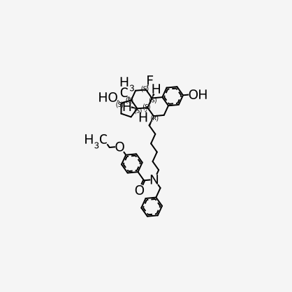 CCOc1ccc(C(=O)N(CCCCCC[C@@H]2Cc3cc(O)ccc3[C@@H]3[C@@H]2[C@@H]2CC[C@H](O)[C@@]2(C)C[C@@H]3F)Cc2ccccc2)cc1